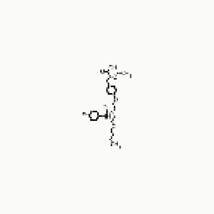 CCCCOCCN(CCOc1ccc(CC(OCC)C(=O)O)cc1)C(=O)Nc1ccc(F)cc1